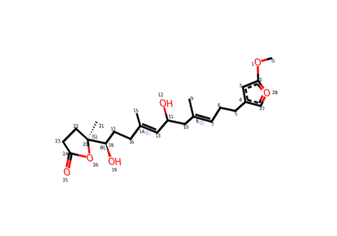 COc1cc(CC/C=C(\C)CC(O)/C=C(\C)CC[C@@H](O)[C@]2(C)CCC(=O)O2)co1